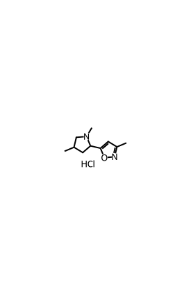 Cc1cc(C2CC(C)CN2C)on1.Cl